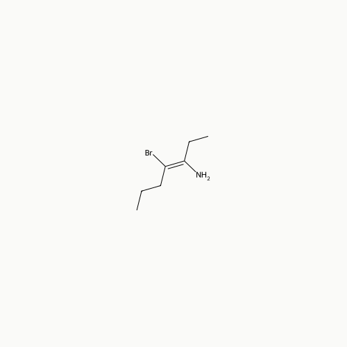 CCCC(Br)=C(N)CC